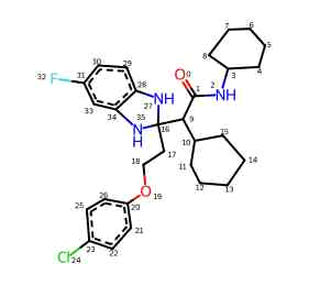 O=C(NC1CCCCC1)C(C1CCCCC1)C1(CCOc2ccc(Cl)cc2)Nc2ccc(F)cc2N1